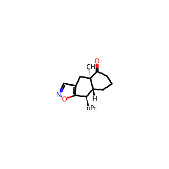 CCC[C@H]1c2oncc2C[C@@]2(C)C(=O)CCC[C@H]12